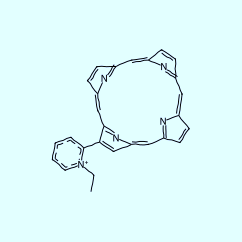 CC[n+]1ccccc1C1=CC2=CC3=NC(=CC4=NC(=CC5=NC(=CC1=N2)C=C5)C=C4)C=C3